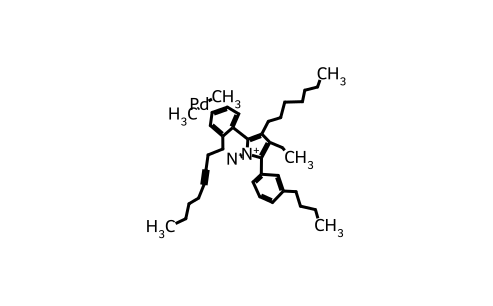 CCCCC#CCCc1ccccc1C1=C(CCCCCCC)C(CC)=C(c2cccc(CCCC)c2)[N+]1=[N-].[CH3][Pd][CH3]